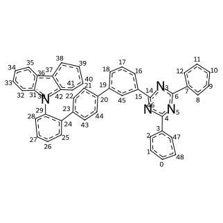 c1ccc(-c2nc(-c3ccccc3)nc(-c3cccc(-c4ccc(-c5ccccc5-n5c6ccccc6c6ccccc65)cc4)c3)n2)cc1